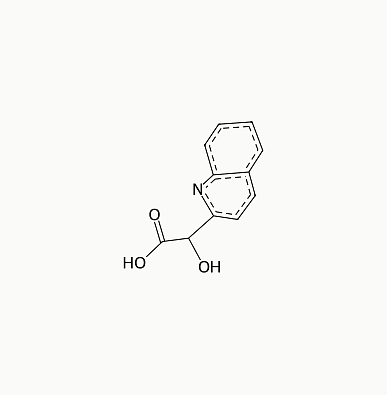 O=C(O)C(O)c1ccc2ccccc2n1